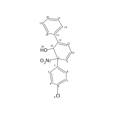 O=[N+]([O-])C1(c2ccc(Cl)cc2)C=CC=C(c2ccccc2)C1O